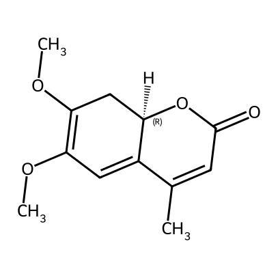 COC1=C(OC)C[C@H]2OC(=O)C=C(C)C2=C1